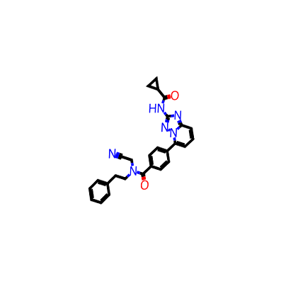 N#CCN(CCc1ccccc1)C(=O)c1ccc(-c2cccc3nc(NC(=O)C4CC4)nn23)cc1